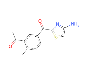 CC(=O)c1cc(C(=O)c2nc(N)cs2)ccc1C